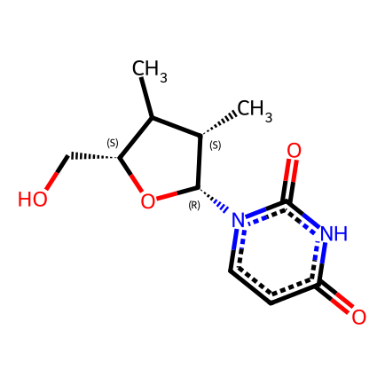 CC1[C@@H](CO)O[C@@H](n2ccc(=O)[nH]c2=O)[C@H]1C